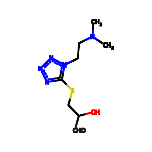 CN(C)CCn1nnnc1SCC(O)C=O